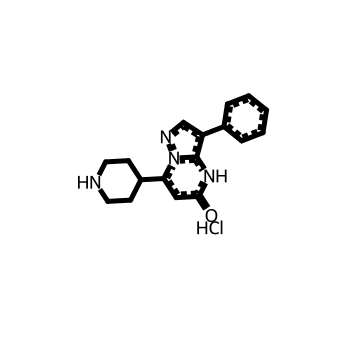 Cl.O=c1cc(C2CCNCC2)n2ncc(-c3ccccc3)c2[nH]1